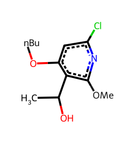 CCCCOc1cc(Cl)nc(OC)c1C(C)O